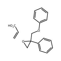 C=CC(=O)O.c1ccc(OCC2(c3ccccc3)CO2)cc1